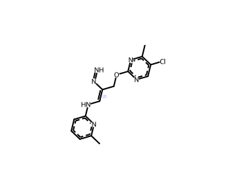 Cc1cccc(N/C=C(/COc2ncc(Cl)c(C)n2)N=N)n1